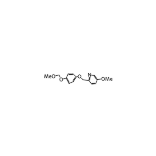 COCOc1ccc(OCc2ccc(OC)cn2)cc1